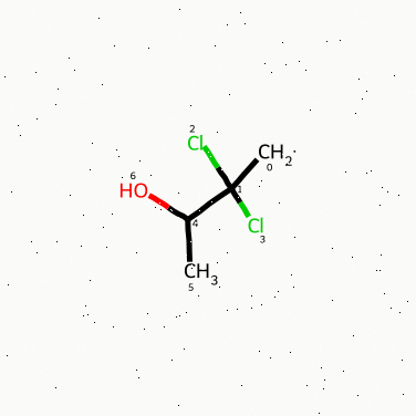 [CH2]C(Cl)(Cl)C(C)O